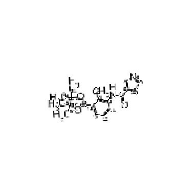 Cc1c(NC(=O)c2cncs2)cccc1B1OC(C)(C)C(C)(C)O1